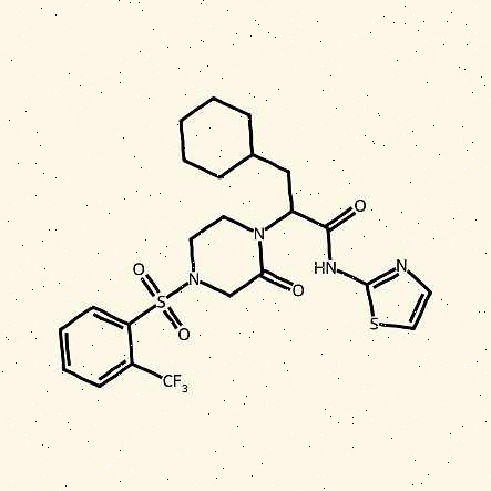 O=C(Nc1nccs1)C(CC1CCCCC1)N1CCN(S(=O)(=O)c2ccccc2C(F)(F)F)CC1=O